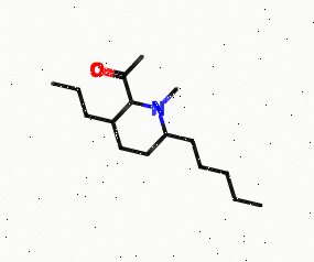 CCCCCC1CCC(CCC)C(C(C)=O)N1C